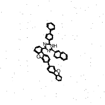 c1ccc(-c2ccc(C3N=C(c4cccc5oc6cc(-c7ccc8c(c7)oc7ccccc78)ccc6c45)N=C(c4ccc5ccccc5c4)N3)cc2)cc1